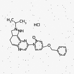 CC(C)N1CC2CC=c3ncc(-n4ccc(OCc5ccccc5)cc4=O)nc3=C2N1.Cl